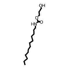 CCCCCCCCCCCCCNC(=O)OCCCO